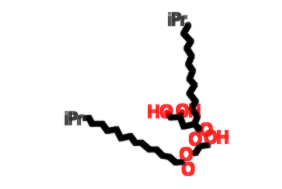 CC(C)CCCCCCCCCCCCCCC(=O)OCC(CO)OC(=O)C(CCCCCCCCCCCCCC(C)C)CC(O)CO